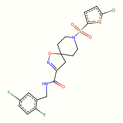 O=C(NCc1cc(F)ccc1F)C1=NOC2(CCN(S(=O)(=O)c3ccc(Cl)s3)CC2)C1